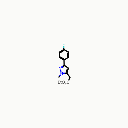 CCOC(=O)Cc1cc(-c2ccc(F)cc2)nn1C